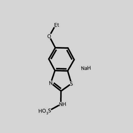 CCOc1ccc2sc(NS(=O)(=O)O)nc2c1.[NaH]